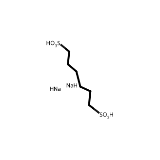 O=S(=O)(O)CCCCCCS(=O)(=O)O.[NaH].[NaH]